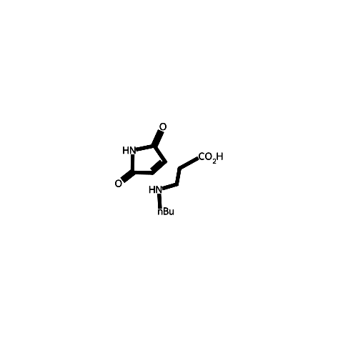 CCCCNCCC(=O)O.O=C1C=CC(=O)N1